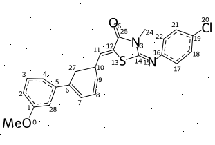 COc1cccc(C2=CC=CC(/C=C3\S/C(=N/c4ccc(Cl)cc4)N(C)C3=O)C2)c1